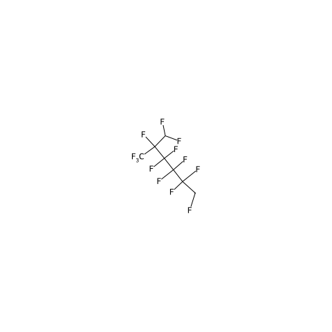 FCC(F)(F)C(F)(F)C(F)(F)C(F)(C(F)F)C(F)(F)F